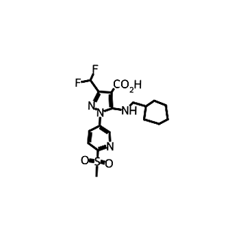 CS(=O)(=O)c1ccc(-n2nc(C(F)F)c(C(=O)O)c2NCC2CCCCC2)cn1